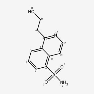 NS(=O)(=O)c1cccc2c(CCO)nccc12